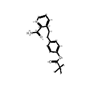 CC(C)(C)C(=O)Oc1ccc(CCc2cccnc2C(N)=O)cc1